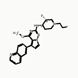 COc1nc(N[C@@H]2CCN(CCF)C[C@H]2F)nn2ccc(-c3ccc4ncccc4c3)c12